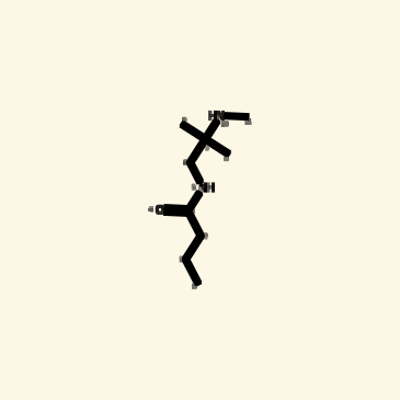 CCCC(=O)NCC(C)(C)NC